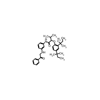 CCC(C)(C)c1ccc(OC(C(=O)Nc2cccc(NCC(=O)c3ccccc3)c2)C(C)C)c(C(C)(C)CC)c1